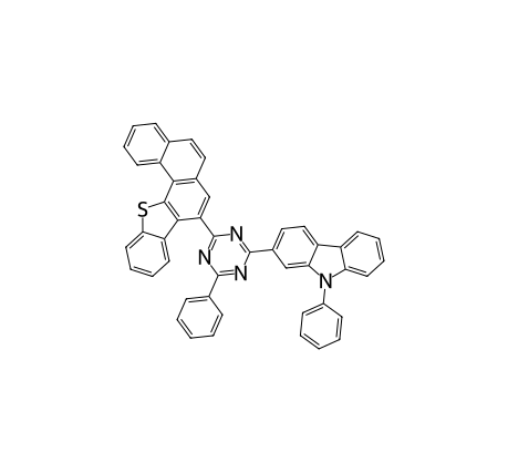 c1ccc(-c2nc(-c3ccc4c5ccccc5n(-c5ccccc5)c4c3)nc(-c3cc4ccc5ccccc5c4c4sc5ccccc5c34)n2)cc1